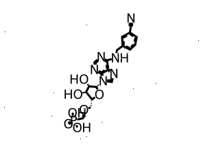 N#Cc1cccc(CNc2ncnc3c2ncn3[C@@H]2O[C@H](COCP(=O)(O)O)[C@@H](O)[C@H]2O)c1